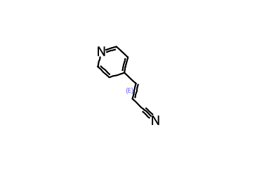 N#C/C=C/c1ccncc1